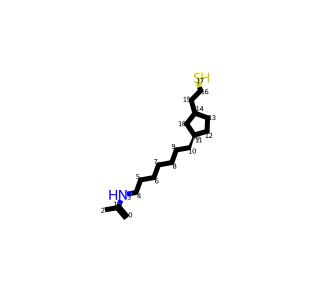 C=C(C)NCCCCCCC[C@@H]1CCC(CCS)C1